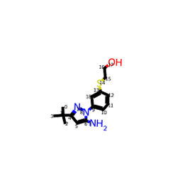 CC(C)(C)c1cc(N)n(-c2cccc(SCCO)c2)n1